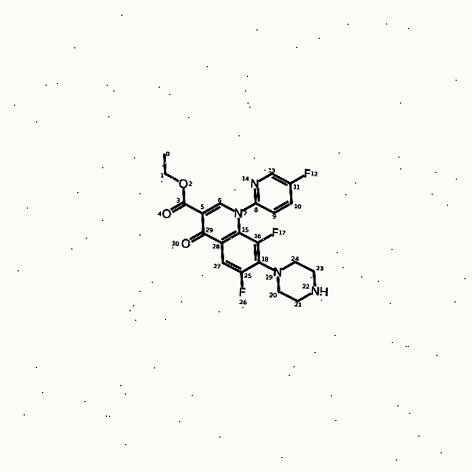 CCOC(=O)c1cn(-c2ccc(F)cn2)c2c(F)c(N3CCNCC3)c(F)cc2c1=O